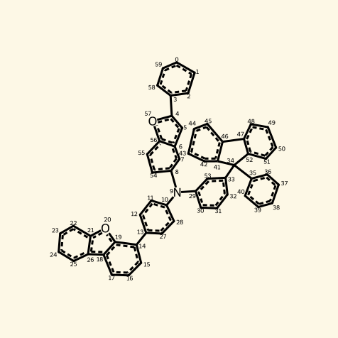 c1ccc(-c2cc3cc(N(c4ccc(-c5cccc6c5oc5ccccc56)cc4)c4cccc(C5(c6ccccc6)c6ccccc6-c6ccccc65)c4)ccc3o2)cc1